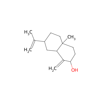 C=C(C)C1CCC2(C)CCC(O)C(=C)C2C1